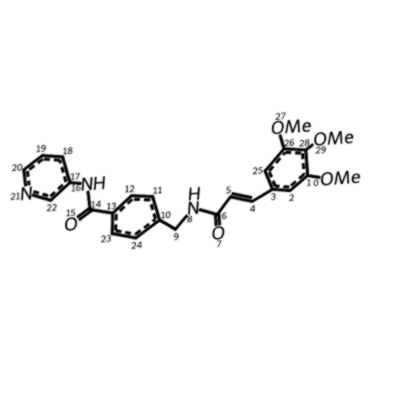 COc1cc(C=CC(=O)NCc2ccc(C(=O)Nc3cccnc3)cc2)cc(OC)c1OC